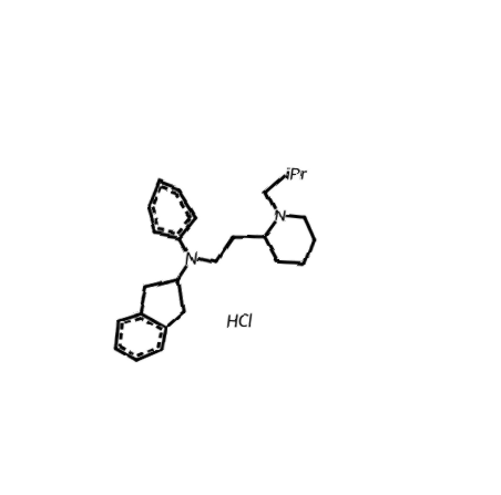 CC(C)CN1CCCCC1CCN(c1ccccc1)C1Cc2ccccc2C1.Cl